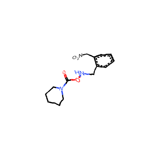 O=C(ONCc1ccccc1[N+](=O)[O-])N1CCCCC1